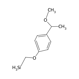 COC(C)c1ccc(OC[SiH3])cc1